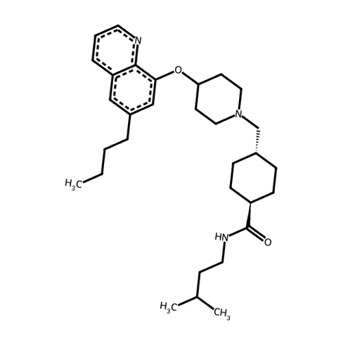 CCCCc1cc(OC2CCN(C[C@H]3CC[C@H](C(=O)NCCC(C)C)CC3)CC2)c2ncccc2c1